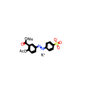 COC(=O)c1cc(N=Nc2ccc(S(=O)(=O)[O-])cc2)ccc1OC(C)=O.[K+]